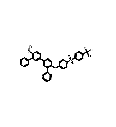 CCC(C)(CC)c1ccc(S(=O)(=O)c2ccc(Oc3ccc(-c4ccc(OC(C)C)c(-c5ccccc5)c4)cc3-c3ccccc3)cc2)cc1